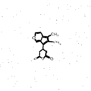 Cc1c2ccocc-2c(C2CC(=O)OC(=O)C2)c1C